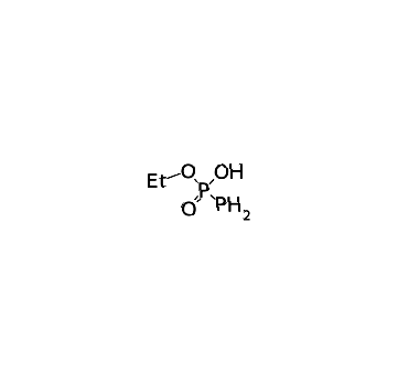 CCOP(=O)(O)P